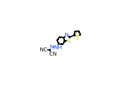 N#CC(C#N)=NNc1ccc2nc(-c3cccs3)sc2c1